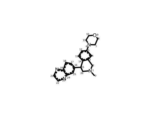 CN1Cc2cc(N3CCOCC3)ccc2C(c2ccc3nccnc3c2)C1